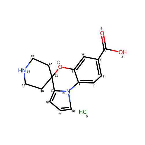 Cl.O=C(O)c1ccc2c(c1)OC1(CCNCC1)c1cccn1-2